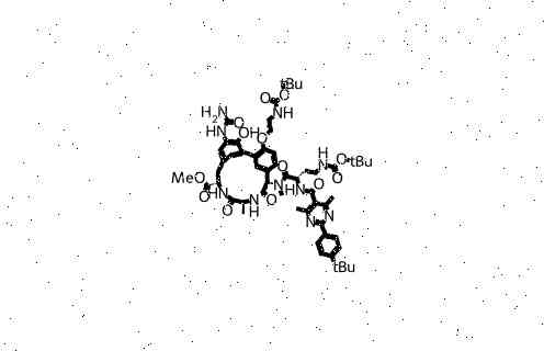 COC(=O)[C@@H]1Cc2cc(NC(N)=O)c(O)c(c2)-c2cc(ccc2OCCNC(=O)OC(C)(C)C)[C@H](N(C)C(=O)[C@H](CCNC(=O)OC(C)(C)C)NC(=O)c2c(C)nc(-c3ccc(C(C)(C)C)cc3)nc2C)C(=O)N[C@@H](C)C(=O)N1